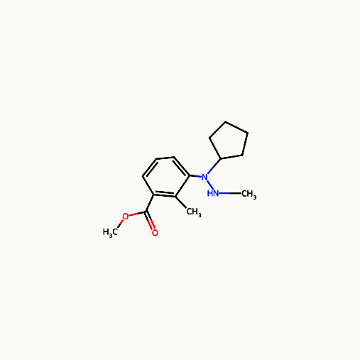 CNN(c1cccc(C(=O)OC)c1C)C1CCCC1